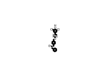 CCN(Cc1ccccc1)Cc1ccc(COc2ncc(-c3cc(Cl)c(O)c(Cl)c3)nn2)cc1